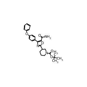 CC(C)(C)OC(=O)N1CCCC(c2nc(-c3ccc(Oc4ccccc4)cc3)c(C(N)=O)o2)C1